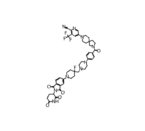 N#Cc1ncc(N2CCC3(CCN(C(=O)c4ccc(N5CCN(CC6(F)CCN(c7ccc8c(c7)C(=O)N(C7CCC(=O)NC7=O)C8=O)CC6)CC5)cc4)C3)CC2)cc1C(F)(F)F